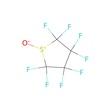 [O-][S+]1C(F)(F)C(F)(F)C(F)(F)C1(F)F